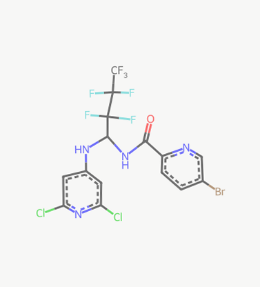 O=C(NC(Nc1cc(Cl)nc(Cl)c1)C(F)(F)C(F)(F)C(F)(F)F)c1ccc(Br)cn1